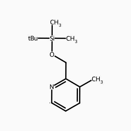 Cc1cc[c]nc1CO[Si](C)(C)C(C)(C)C